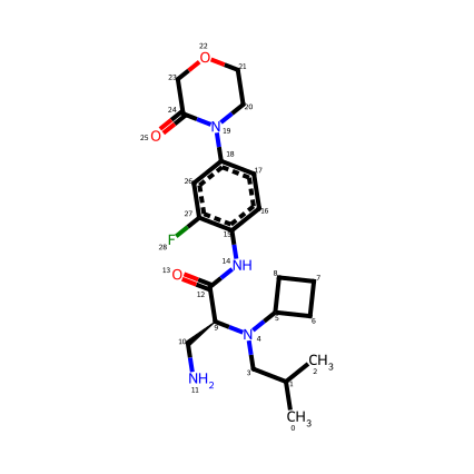 CC(C)CN(C1CCC1)[C@@H](CN)C(=O)Nc1ccc(N2CCOCC2=O)cc1F